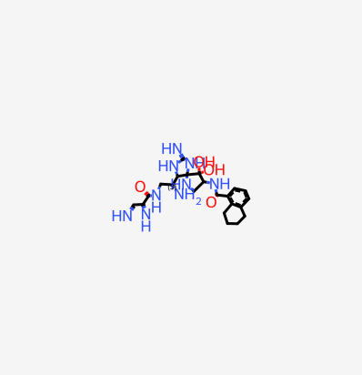 N=CC(=N)C(=O)NC[C@H](N)C1NC(=N)NC12NCC(NC(=O)c1cccc3c1CCCC3)C2(O)O